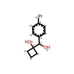 CC(C)c1ccc(C(O)C2(O)CCC2)cc1